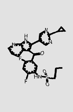 CCCS(=O)(=O)Nc1cc(C(=O)c2c(-c3cnc(C4CC4)nc3)[nH]c3ncccc23)c(F)cc1F